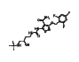 CC(C)(C)NCC(O)CCNC(=O)Nc1snc(OCc2c(F)cc(F)cc2F)c1C(N)=O